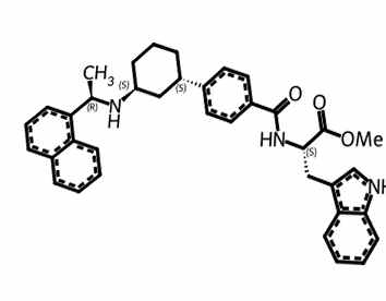 COC(=O)[C@H](Cc1c[nH]c2ccccc12)NC(=O)c1ccc([C@H]2CCC[C@H](N[C@H](C)c3cccc4ccccc34)C2)cc1